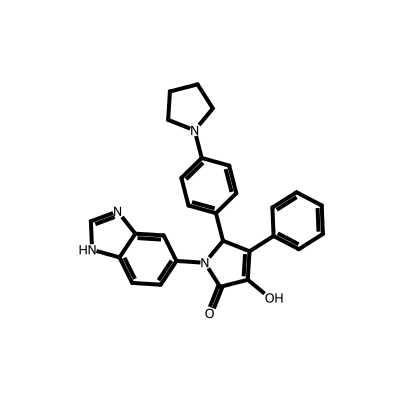 O=C1C(O)=C(c2ccccc2)C(c2ccc(N3CCCC3)cc2)N1c1ccc2[nH]cnc2c1